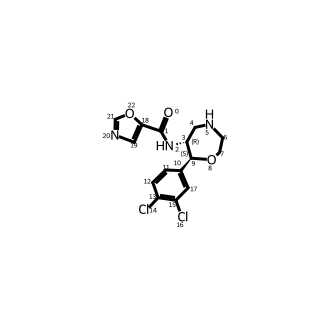 O=C(N[C@@H]1CNCCO[C@H]1c1ccc(Cl)c(Cl)c1)c1cnco1